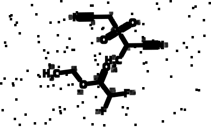 CC(C#N)S(=O)(=O)CC#N.CCOC(=O)C(F)F